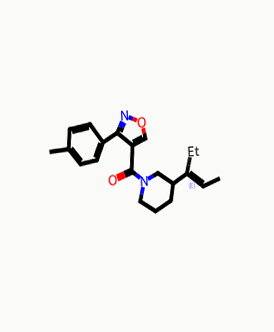 C/C=C(\CC)C1CCCN(C(=O)c2conc2-c2ccc(C)cc2)C1